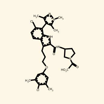 Cc1cc(OCCCc2c(C(=O)NC3CCN(C(=O)C(=O)O)C3)[nH]c3c(-c4c(C)nn(C)c4C)c(Cl)ccc23)cc(C)c1Cl